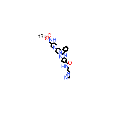 CC(C)(C)OC(=O)NCC1CCN(C2CCN(c3nc4ccc(C(=O)NCCCn5ccnc5)cc4nc3-c3ccccc3)CC2)CC1